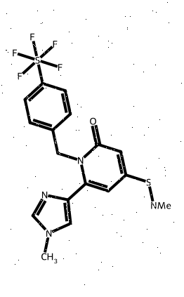 CNSc1cc(-c2cn(C)cn2)n(Cc2ccc(S(F)(F)(F)(F)F)cc2)c(=O)c1